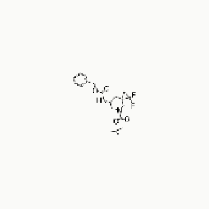 CC(C)(C)OC(=O)N1CC(NC(=O)OCc2ccccc2)CC2(C1)CC2(F)F